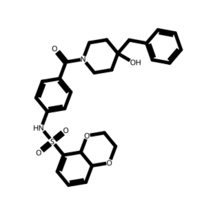 O=C(c1ccc(NS(=O)(=O)C2=CC=CC3OCCOC23)cc1)N1CCC(O)(Cc2ccccc2)CC1